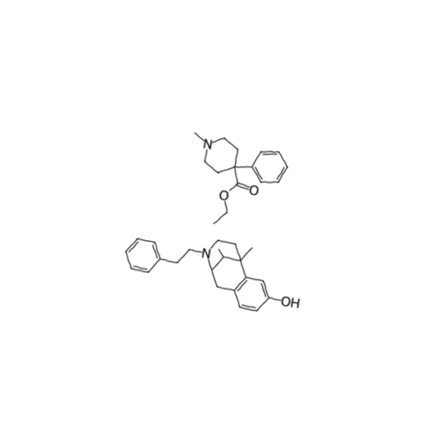 CC1C2Cc3ccc(O)cc3C1(C)CCN2CCc1ccccc1.CCOC(=O)C1(c2ccccc2)CCN(C)CC1